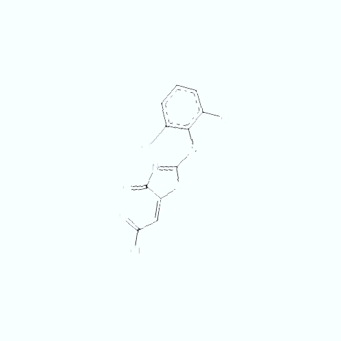 O=C(O)C=C1SC(Nc2c(Cl)cccc2Cl)=NC1=O